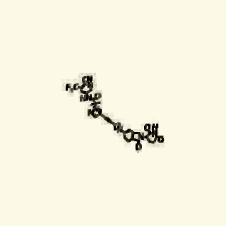 CC(C)(C(=O)Nc1cnc(C#N)c(C(F)(F)F)c1)n1cc(C#CC2CN(c3ccc4c(c3)CN(C3CCC(=O)NC3=O)C4=O)C2)cn1